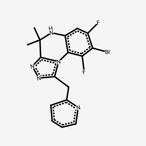 CC1(C)Nc2cc(F)c(Br)c(F)c2-n2c(Cc3ccccn3)nnc21